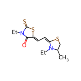 CCN1C(=O)C(=CC=C2SCC(C)N2CC)SC1=S